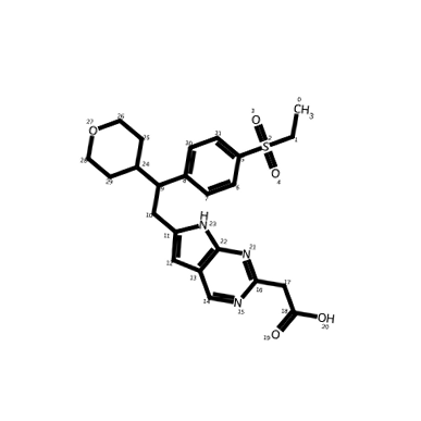 CCS(=O)(=O)c1ccc(C(Cc2cc3cnc(CC(=O)O)nc3[nH]2)C2CCOCC2)cc1